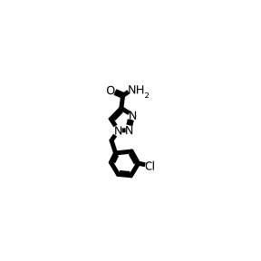 NC(=O)c1cn(Cc2cccc(Cl)c2)nn1